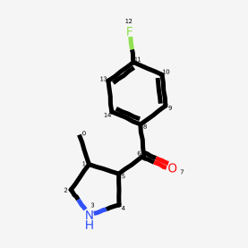 CC1CNCC1C(=O)c1ccc(F)cc1